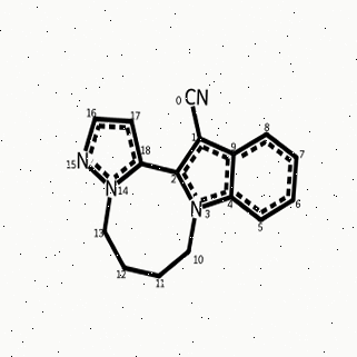 N#Cc1c2n(c3ccccc13)CCCCn1nccc1-2